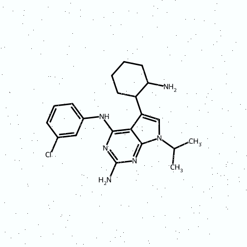 CC(C)n1cc(C2CCCCC2N)c2c(Nc3cccc(Cl)c3)nc(N)nc21